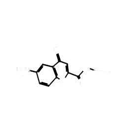 CCCCCCOC(=O)c1cc(=O)c2cc(N)ccc2o1